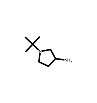 CC(C)(C)N1CCC(N)C1